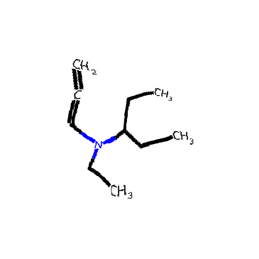 C=C=CN(CC)C(CC)CC